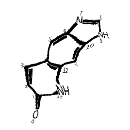 O=c1ccc2cc3nc[nH]c3cc2[nH]1